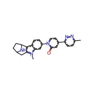 Cc1ccc(-c2ccn(-c3ccc4c5c(n(C)c4c3)CC3CCC5N3)c(=O)c2)nn1